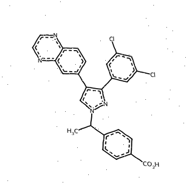 CC(c1ccc(C(=O)O)cc1)n1cc(-c2ccc3nccnc3c2)c(-c2cc(Cl)cc(Cl)c2)n1